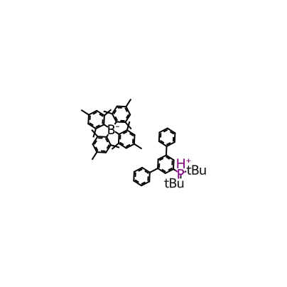 CC(C)(C)[PH+](c1cc(-c2ccccc2)cc(-c2ccccc2)c1)C(C)(C)C.Cc1cc(C)c([B-](c2c(C)cc(C)cc2C)(c2c(C)cc(C)cc2C)c2c(C)cc(C)cc2C)c(C)c1